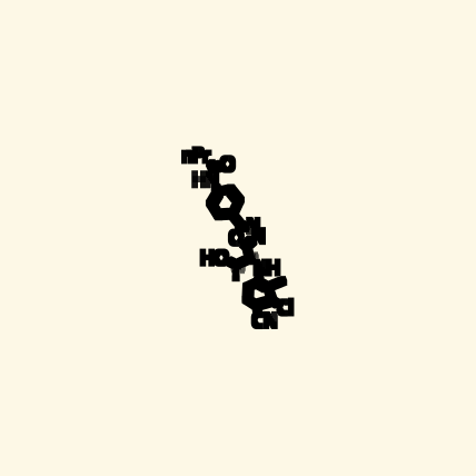 CCCC(=O)Nc1ccc(-c2nnc([C@H](Nc3ccc(C#N)c(Cl)c3C)[C@@H](C)O)o2)cc1